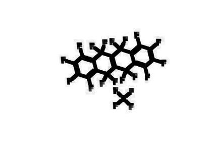 FS(F)(F)F.Fc1c(F)c(F)c2c(c1F)C(F)(F)C1=C(C2(F)F)C(F)(F)c2c(F)c(F)c(F)c(F)c2C1(F)F